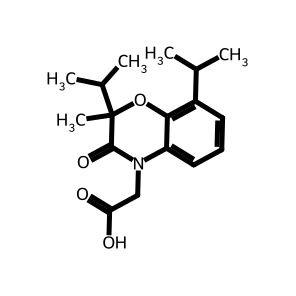 CC(C)c1cccc2c1OC(C)(C(C)C)C(=O)N2CC(=O)O